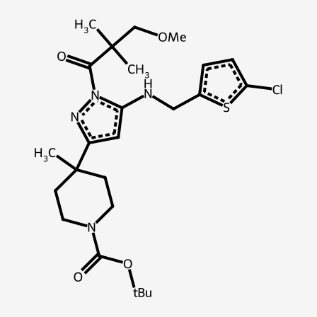 COCC(C)(C)C(=O)n1nc(C2(C)CCN(C(=O)OC(C)(C)C)CC2)cc1NCc1ccc(Cl)s1